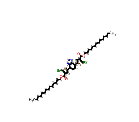 CCCCCCCCCCCCCCOC(=O)c1cc(-c2ccc(-c3cc(C(=O)OCCCCCCCCCCCCCC)c(Br)s3)c3nsnc23)sc1Br